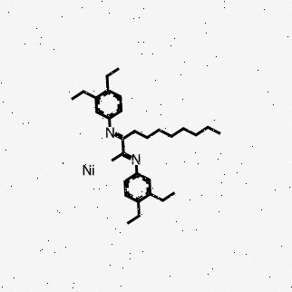 CCCCCCCCC(=N\c1ccc(CC)c(CC)c1)/C(C)=N/c1ccc(CC)c(CC)c1.[Ni]